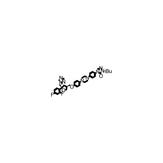 CC[C@@H](C)n1ncn(-c2ccc(N3CCN(c4ccc(OC[C@H]5CO[C@](Cn6cncn6)(c6ccc(F)cc6F)C5)cc4)CC3)cc2)c1=O